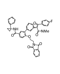 CNC(=O)c1c(-c2ccc(F)cc2)oc2ccc(-c3cc(C(=O)NC4(c5ccccc5)CC4)ccc3OCCN3C(=O)c4ccccc4C3=O)cc12